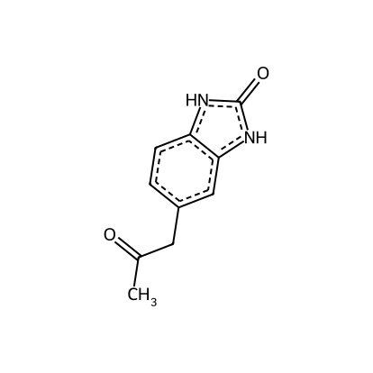 CC(=O)Cc1ccc2[nH]c(=O)[nH]c2c1